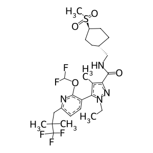 CCn1nc(C(=O)NC[C@H]2CC[C@H](S(C)(=O)=O)CC2)c(C)c1-c1ccc(CC(C)(C)C(F)(F)F)nc1OC(F)F